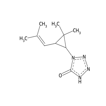 CC(C)=CC1C(n2nn[nH]c2=O)C1(C)C